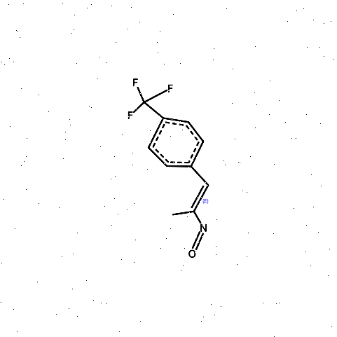 C/C(=C\c1ccc(C(F)(F)F)cc1)N=O